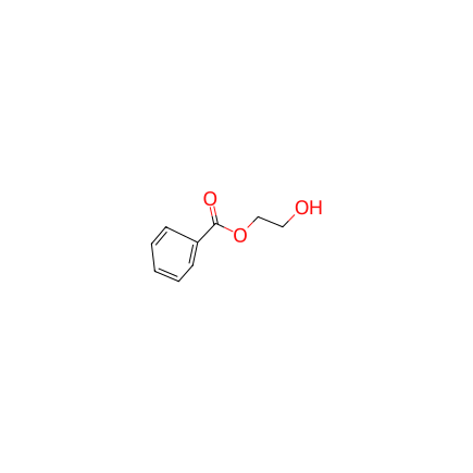 O=C(OCCO)c1ccccc1